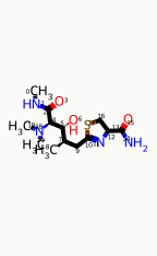 CNC(=O)[C@@H]([C@H](O)[C@H](C)CC1=NC(C(N)=O)CS1)N(C)C